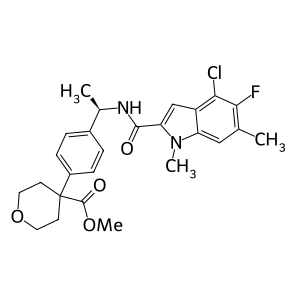 COC(=O)C1(c2ccc([C@@H](C)NC(=O)c3cc4c(Cl)c(F)c(C)cc4n3C)cc2)CCOCC1